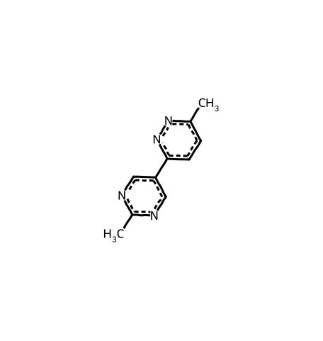 Cc1ccc(-c2cnc(C)nc2)nn1